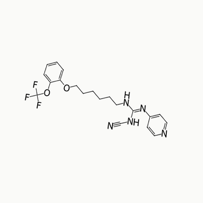 N#CN/C(=N\c1ccncc1)NCCCCCCOc1ccccc1OC(F)(F)F